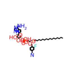 CCCCCCCCCCCCCCCCOC[C@H](COP(=O)(O)OC[C@H]1O[C@@](C)(c2ccc3c(N)ncnn23)[C@H](O)[C@@H]1O)OCc1ccc(C#N)cc1F